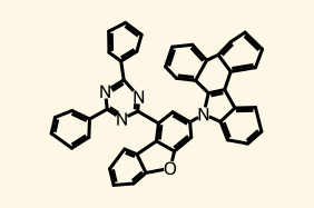 c1ccc(-c2nc(-c3ccccc3)nc(-c3cc(-n4c5ccccc5c5c6ccccc6c6ccccc6c54)cc4oc5ccccc5c34)n2)cc1